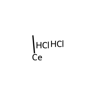 Cl.Cl.[CH3][Ce]